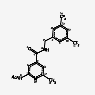 CC(=O)Nc1cc(C(=O)NCc2cc(C(F)(F)F)cc(C(F)(F)F)c2)cc(C)n1